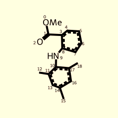 COC(=O)c1ccccc1Nc1c(C)cc(C)cc1C